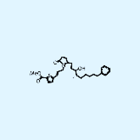 COC(=O)c1ccc(C=CCN2C(=O)CCC2CC[C@@H](O)[C@@H](C)CCCCCc2ccccc2)s1